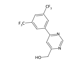 OCc1cc(-c2cc(C(F)(F)F)cc(C(F)(F)F)c2)ncn1